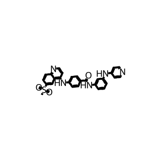 CS(=O)(=O)c1ccc2nccc(Nc3ccc(C(=O)Nc4cccc(Nc5ccncc5)c4)cc3)c2c1